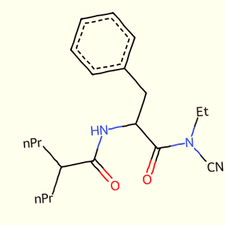 CCCC(CCC)C(=O)NC(Cc1ccccc1)C(=O)N(C#N)CC